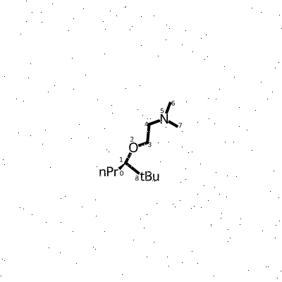 CCC[C@@H](OCCN(C)C)C(C)(C)C